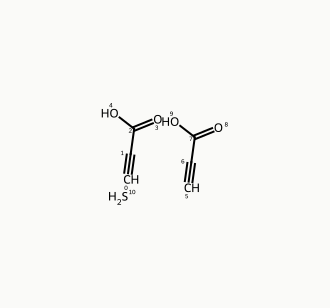 C#CC(=O)O.C#CC(=O)O.S